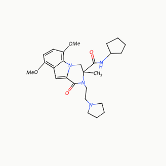 COc1ccc(OC)c2c1cc1n2CC(C)(C(=O)NC2CCCC2)N(CCN2CCCC2)C1=O